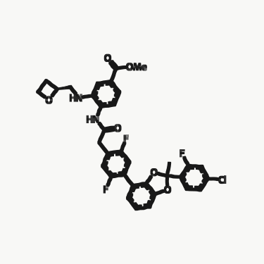 COC(=O)c1ccc(NC(=O)Cc2cc(F)c(-c3cccc4c3OC(C)(c3ccc(Cl)cc3F)O4)cc2F)c(NC[C@@H]2CCO2)c1